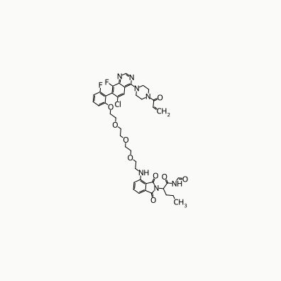 C=CC(=O)N1CCN(c2ncnc3c(F)c(-c4c(F)cccc4OCCOCCOCCOCCNc4cccc5c4C(=O)N(C(CCC)C(=O)NC=O)C5=O)c(Cl)cc23)CC1